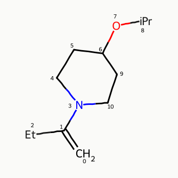 C=C(CC)N1CCC(OC(C)C)CC1